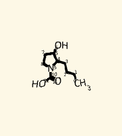 CCCCC1C(O)CCN1C(=O)O